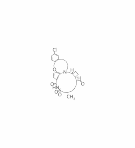 C[C@H]1CCCC(C=O)[C@@H]2CC[C@H]2CN2CCCCc3cc(Cl)ccc3COc3ccc(cc32)C(=O)NS(=O)(=O)C1